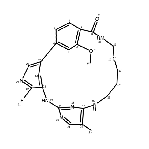 COc1cc2ccc1C(=O)NCCCCCNc1nc(ncc1C)Nc1cc-2cnc1F